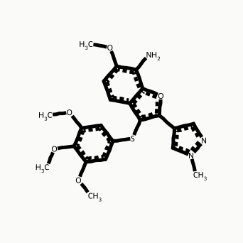 COc1cc(Sc2c(-c3cnn(C)c3)oc3c(N)c(OC)ccc23)cc(OC)c1OC